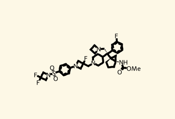 COC(=O)N[C@]12CCC[C@@]1([C@](CN1CCC1)(c1cccc(F)c1)C1CCN(CC3(F)CN(c4ccc(S(=O)(=O)N5CC(F)(F)C5)cc4)C3)CC1)C2